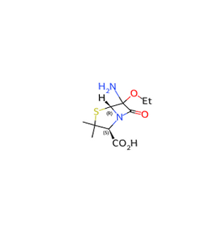 CCOC1(N)C(=O)N2[C@@H](C(=O)O)C(C)(C)S[C@@H]21